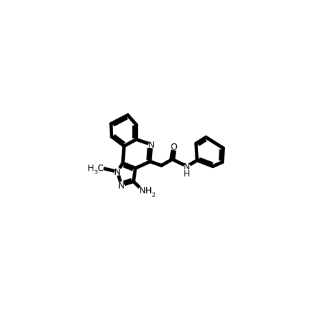 Cn1nc(N)c2c(CC(=O)Nc3ccccc3)nc3ccccc3c21